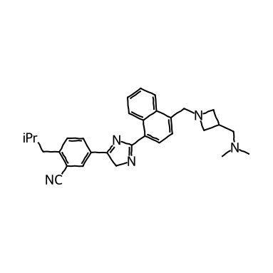 CC(C)Cc1ccc(C2=NC(c3ccc(CN4CC(CN(C)C)C4)c4ccccc34)=NC2)cc1C#N